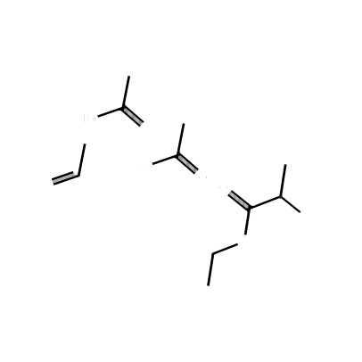 CC(=O)O.CC(=O)O.CC=O.CCOC(=O)C(C)O